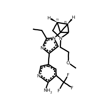 CCc1nc(-c2cnc(N)c(C(F)(F)F)c2)cn1C12C3[C@H]1[C@H]2CN3CCOC